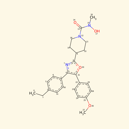 CCc1ccc(-c2nc(C3CCN(C(=O)N(C)O)CC3)oc2-c2ccc(OC)cc2)cc1